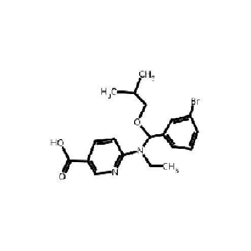 CCN(c1ccc(C(=O)O)cn1)C(OCC(C)C)c1cccc(Br)c1